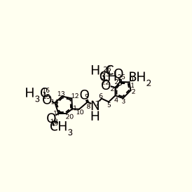 Bc1ccc(CCNC(=O)Cc2ccc(OC)c(OC)c2)c(OC)c1OC